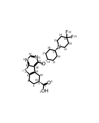 O=C(O)[C@H]1CCc2sc3ncnc(O[C@H]4CC[C@H](N5CCC(F)(F)CC5)CC4)c3c2C1